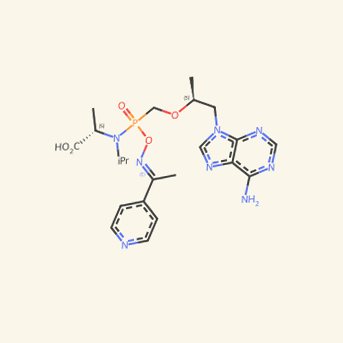 C/C(=N\OP(=O)(CO[C@@H](C)Cn1cnc2c(N)ncnc21)N(C(C)C)[C@@H](C)C(=O)O)c1ccncc1